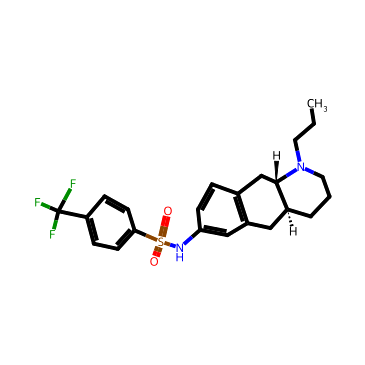 CCCN1CCC[C@H]2Cc3cc(NS(=O)(=O)c4ccc(C(F)(F)F)cc4)ccc3C[C@@H]21